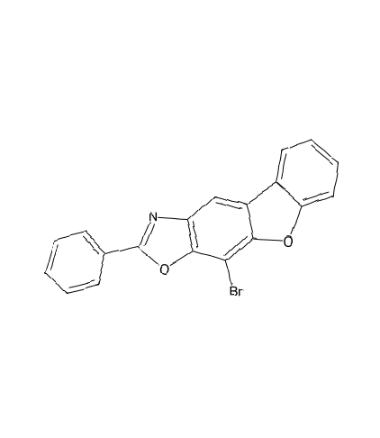 Brc1c2oc(-c3ccccc3)nc2cc2c1oc1ccccc12